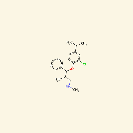 CNCC(C)C(Oc1ccc(C(C)C)cc1Cl)c1ccccc1